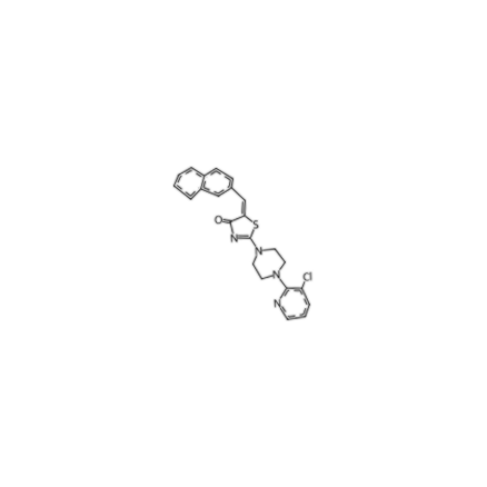 O=C1N=C(N2CCN(c3ncccc3Cl)CC2)SC1=Cc1ccc2ccccc2c1